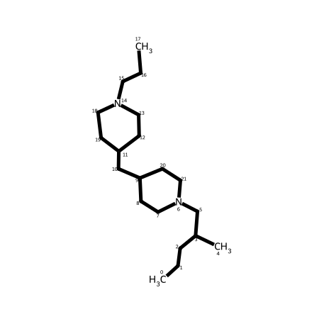 CCCC(C)CN1CCC(CC2CCN(CCC)CC2)CC1